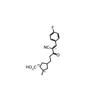 C[C@@H]1CC(CCC(=O)/C(C#N)=C/c2ccc(F)cc2)C[C@H]1C(=O)O